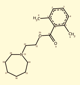 Cc1cccc(C)c1C(=O)OCCN1CCCCCC1